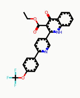 CCOC(=O)c1c(-c2ccc(-c3ccc(OC(F)(F)F)cc3)nc2)[nH]c2ccccc2c1=O